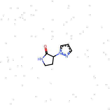 O=C1NCCC1n1c[c]cn1